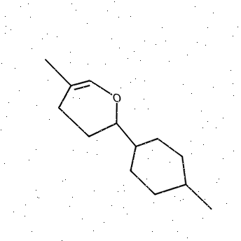 CC1=COC(C2CCC(C)CC2)CC1